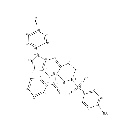 CC(C)(C)c1ccc(S(=O)(=O)N2CCC3=Cc4c(cnn4-c4ccc(F)cc4)C[C@]3(C(=O)c3ccccc3)C2)cc1